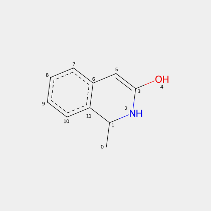 CC1NC(O)=Cc2ccccc21